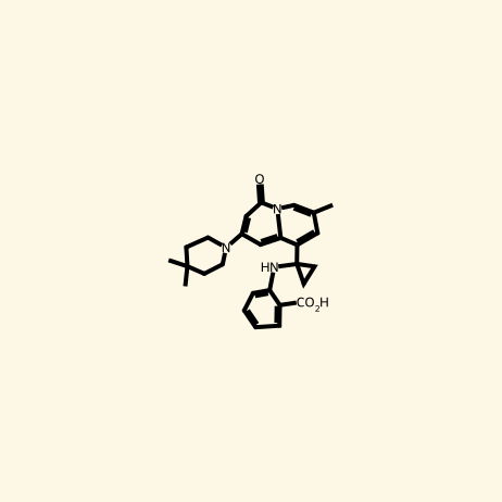 Cc1cc(C2(Nc3ccccc3C(=O)O)CC2)c2cc(N3CCC(C)(C)CC3)cc(=O)n2c1